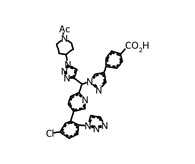 CC(=O)N1CCC(n2cc(C(c3ccc(-c4cc(Cl)ccc4-n4ccnn4)cn3)n3cc(-c4ccc(C(=O)O)cc4)cn3)nn2)CC1